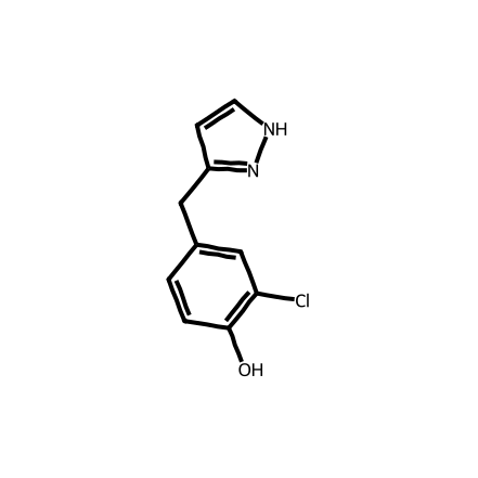 Oc1ccc(Cc2cc[nH]n2)cc1Cl